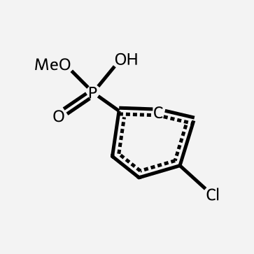 COP(=O)(O)c1ccc(Cl)cc1